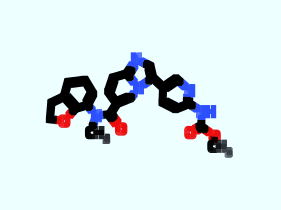 COC(=O)Nc1ccc(-c2cnc3ccc(C(=O)N(C)c4cccc5c4OCC5)cn23)cn1